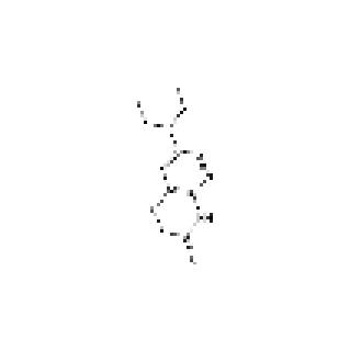 CCC(CC)c1cnc2c(c1)OCC(=O)N2